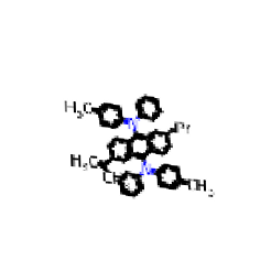 C=C(C)c1ccc2c(N(c3ccccc3)c3ccc(C)cc3)c3cc(C(C)C)ccc3c(N(c3ccccc3)c3ccc(C)cc3)c2c1